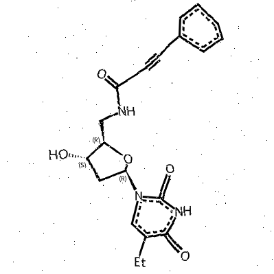 CCc1cn([C@H]2C[C@H](O)[C@@H](CNC(=O)C#Cc3ccccc3)O2)c(=O)[nH]c1=O